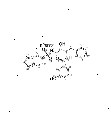 CCCCCN(CC(O)C(Cc1ccccc1)NC(=O)c1cccc(O)c1)S(=O)(=O)c1ccc2ncsc2c1